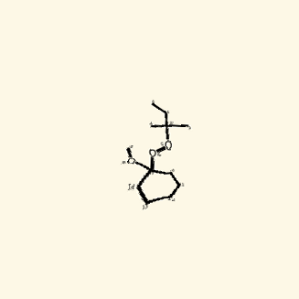 CCC(C)(C)OOC1(OC)CCCCC1